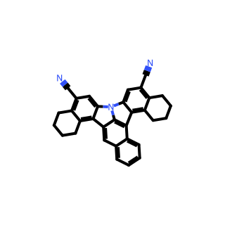 N#Cc1cc2c(c3c1CCCC3)c1cc3ccccc3c3c4c5c(c(C#N)cc4n2c13)CCCC5